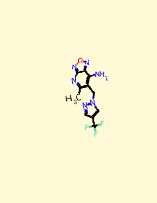 Cc1nc2nonc2c(N)c1Cn1cc(C(F)(F)F)cn1